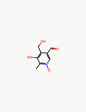 Cc1c(O)c(CO)c(C=O)c[n+]1[O-]